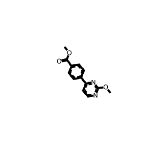 COC(=O)c1ccc(-c2ccnc(OC)n2)cc1